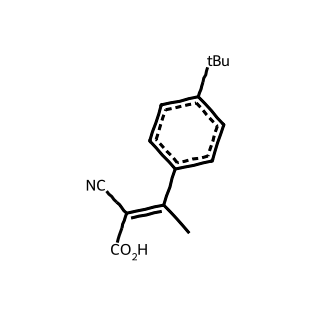 C/C(=C(/C#N)C(=O)O)c1ccc(C(C)(C)C)cc1